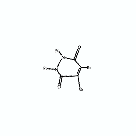 CCn1c(=O)c(Br)c(Br)c(=O)n1CC